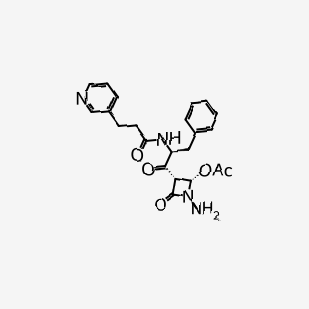 CC(=O)O[C@H]1[C@@H](C(=O)[C@H](Cc2ccccc2)NC(=O)CCc2cccnc2)C(=O)N1N